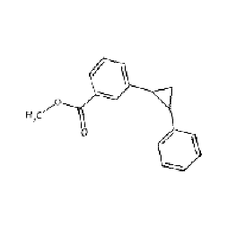 COC(=O)c1cccc(C2CC2c2ccccc2)c1